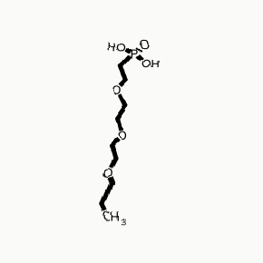 CCCOCCOCCOCCP(=O)(O)O